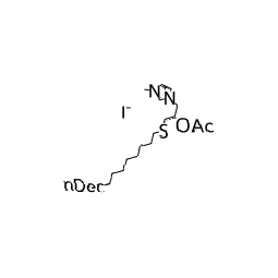 CCCCCCCCCCCCCCCCCCSCC(Cn1cc[n+](C)c1)OC(C)=O.[I-]